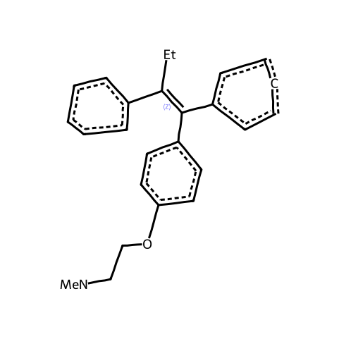 CC/C(=C(\c1ccccc1)c1ccc(OCCNC)cc1)c1ccccc1